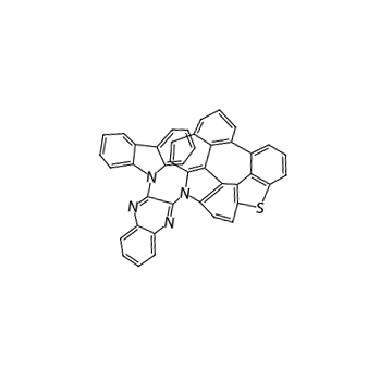 c1cc2c3c(c1)ccc1c3c3c4c(ccc3n1-c1nc3ccccc3nc1-n1c3ccccc3c3ccccc31)sc1cccc-2c14